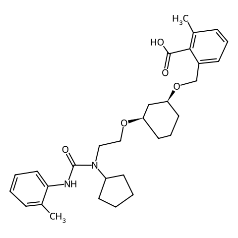 Cc1ccccc1NC(=O)N(CCO[C@@H]1CCC[C@H](OCc2cccc(C)c2C(=O)O)C1)C1CCCC1